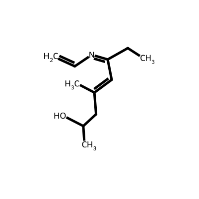 C=C/N=C(\C=C(/C)CC(C)O)CC